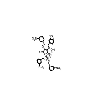 O=C1O[C@H]([C@H](CO)OP(=O)(OCc2cccc([N+](=O)[O-])c2)OCc2cccc([N+](=O)[O-])c2)C(OCc2cccc([N+](=O)[O-])c2)=C1OCc1cccc([N+](=O)[O-])c1